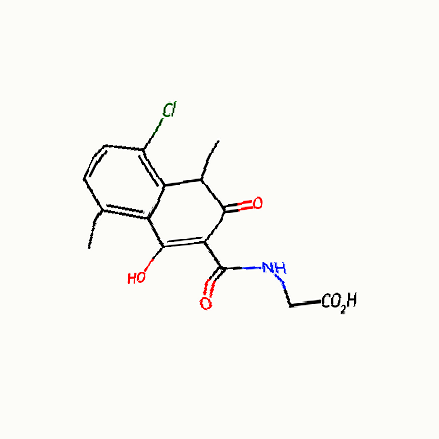 Cc1ccc(Cl)c2c1C(O)=C(C(=O)NCC(=O)O)C(=O)C2C